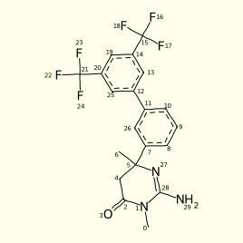 CN1C(=O)CC(C)(c2cccc(-c3cc(C(F)(F)F)cc(C(F)(F)F)c3)c2)N=C1N